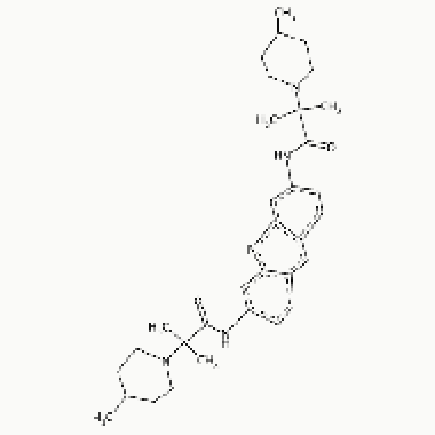 CC1CCN(C(C)(C)C(=O)Nc2ccc3cc4ccc(NC(=O)C(C)(C)N5CCC(C)CC5)cc4nc3c2)CC1